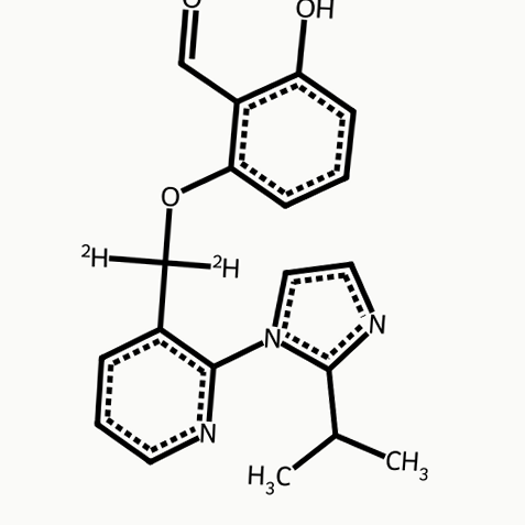 [2H]C([2H])(Oc1cccc(O)c1C=O)c1cccnc1-n1ccnc1C(C)C